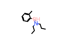 CCCN(Bc1ccccc1C)CCC